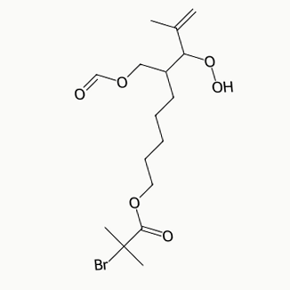 C=C(C)C(OO)C(CCCCCOC(=O)C(C)(C)Br)COC=O